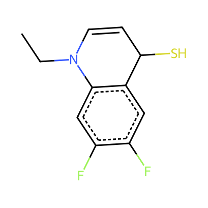 CCN1C=CC(S)c2cc(F)c(F)cc21